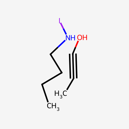 CC#CO.CCCCNI